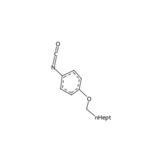 CCCCCCCCOc1ccc(N=C=O)cc1